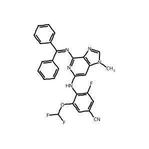 Cn1cnc2c(N=C(c3ccccc3)c3ccccc3)nc(Nc3c(F)cc(C#N)cc3OC(F)F)cc21